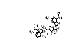 CC(C)OC(=O)[C@@H](C)N[P@](=O)(OC[C@H]1O[C@@H](n2cnc3c(NC4CC4)nc(N)nc32)[C@@](Cl)(C(F)(F)F)[C@@H]1O)Oc1ccccc1